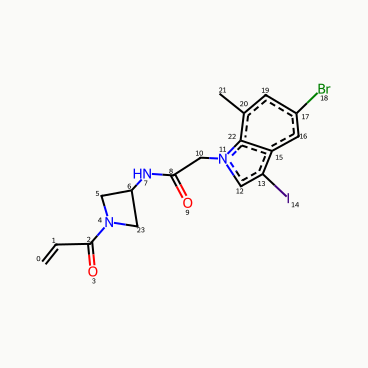 C=CC(=O)N1CC(NC(=O)Cn2cc(I)c3cc(Br)cc(C)c32)C1